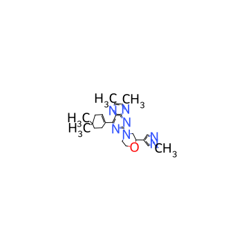 Cc1nc2nc(N3CCOC(c4cnn(C)c4)C3)nc(C3=CCC(C)(C)CC3)c2nc1C